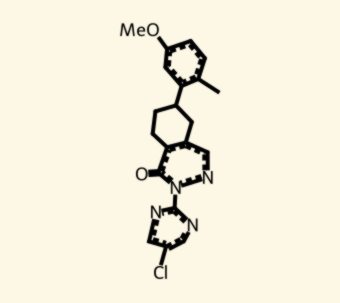 COc1ccc(C)c(C2CCc3c(cnn(-c4ncc(Cl)cn4)c3=O)C2)c1